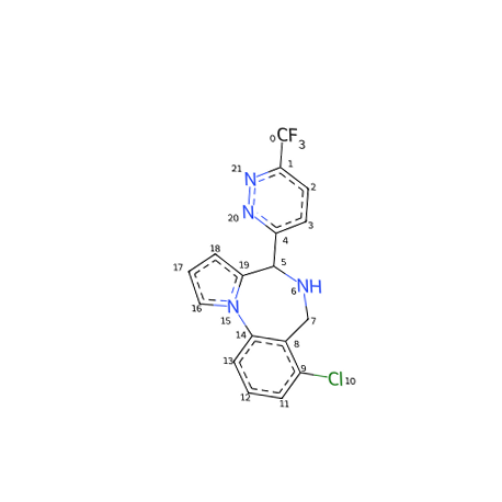 FC(F)(F)c1ccc(C2NCc3c(Cl)cccc3-n3cccc32)nn1